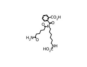 NC(=O)CCCCC(=O)N(CCCCCCNC(=O)O)C(=O)c1ccccc1C(=O)O